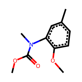 COC(=O)N(C)c1cc(C)ccc1OC